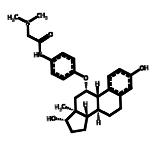 CN(C)CC(=O)Nc1ccc(O[C@H]2C[C@]3(C)[C@@H](O)CC[C@H]3[C@@H]3CCc4cc(O)ccc4[C@H]32)cc1